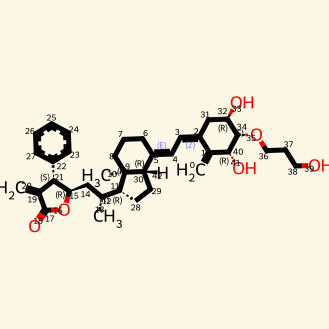 C=C1/C(=C\C=C2/CCC[C@]3(C)[C@@H]([C@H](C)C[C@H]4OC(=O)C(=C)[C@@H]4c4ccccc4)CC[C@@H]23)C[C@@H](O)[C@H](OCCCO)[C@@H]1O